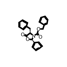 O=C1O[C@H](c2ccccc2)N(C(=O)OCc2ccccc2)[C@@H]1Cc1ccccc1